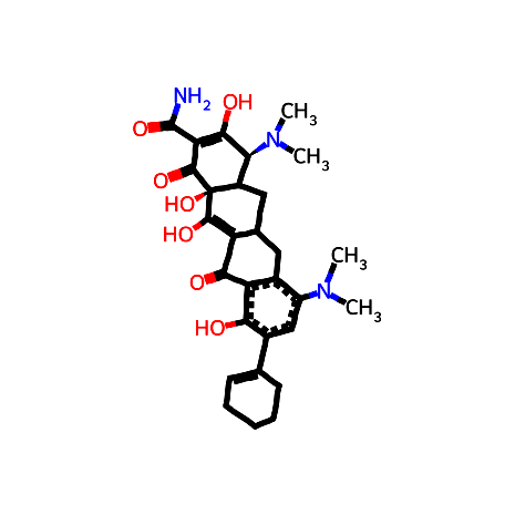 CN(C)c1cc(C2=CCCCC2)c(O)c2c1CC1CC3[C@H](N(C)C)C(O)=C(C(N)=O)C(=O)[C@@]3(O)C(O)=C1C2=O